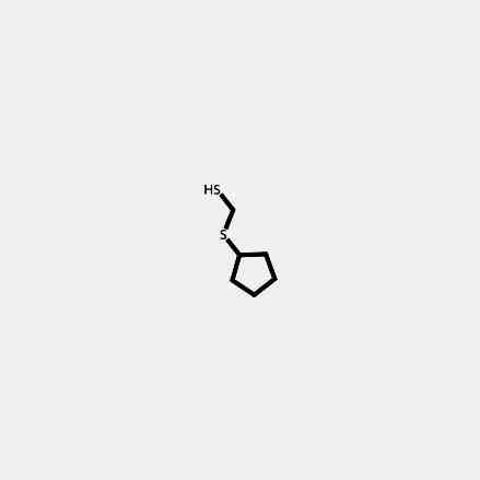 SCSC1CCCC1